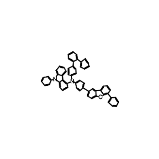 c1ccc(-c2ccccc2-c2ccc(N(c3ccc(-c4ccc5oc6c(-c7ccccc7)cccc6c5c4)cc3)c3cccc4c3c3ccccc3n4-c3ccccc3)cc2)cc1